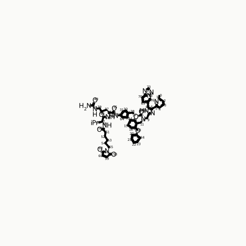 Cc1cccc(-c2nc(CN(Cc3ccccc3Oc3ccccc3)C(=O)OCc3ccc(NC(=O)[C@H](CCCNC(N)=O)NC(=O)C(NC(=O)CCCCCN4C(=O)C=CC4=O)C(C)C)cc3)[nH]c2-c2ccc3ncnn3c2)n1